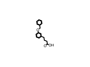 O=C(O)CCCc1cccc(OCc2ccccc2)c1